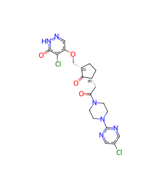 O=C1[C@@H](CC(=O)N2CCN(c3ncc(Cl)cn3)CC2)CC[C@H]1COc1cn[nH]c(=O)c1Cl